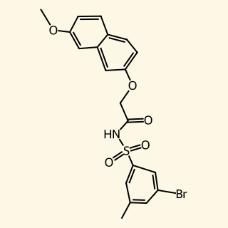 COc1ccc2ccc(OCC(=O)NS(=O)(=O)c3cc(C)cc(Br)c3)cc2c1